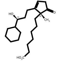 C[C@]1(CCCCCCC(=O)O)C(=O)CC=C1CC[C@H](O)C1CCCCC1